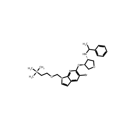 CC(N[C@@H]1COC[C@H]1Oc1nc2c(ccn2COCC[Si](C)(C)C)cc1Br)c1ccccc1